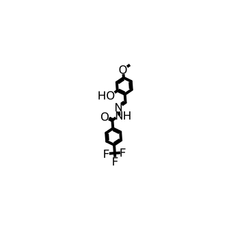 COc1ccc(/C=N/NC(=O)c2ccc(C(F)(F)F)cc2)c(O)c1